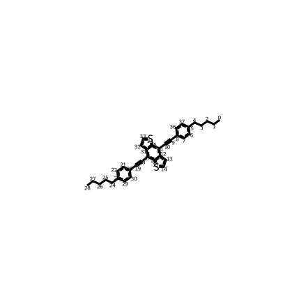 CCCCCc1ccc(C#Cc2c3c[c]sc3c(C#Cc3ccc(CCCCC)cc3)c3c[c]sc23)cc1